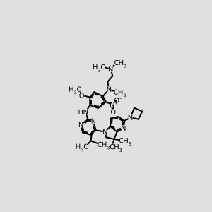 COc1cc(N(C)CCN(C)C)c([N+](=O)[O-])cc1Nc1ncc(C(C)C)c(N2CC(C)(C)c3nc(N4CCC4)ccc32)n1